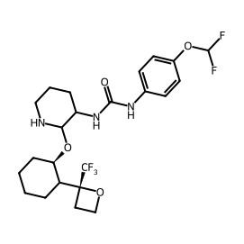 O=C(Nc1ccc(OC(F)F)cc1)NC1CCCNC1O[C@@H]1CCCCC1[C@@]1(C(F)(F)F)CCO1